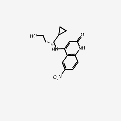 O=c1cc(N[C@H](CCO)C2CC2)c2cc([N+](=O)[O-])ccc2[nH]1